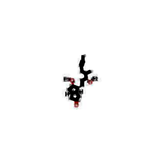 CC#CCC(C)[C@@H](/C=C/[C@@H]1[C@H]2CC(=O)C[C@H]2C[C@H]1OCC)OCC